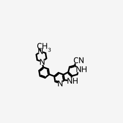 CN1CCN(c2cccc(-c3cnc4[nH]c5c(c4c3)C=C(C#N)NC5)c2)CC1